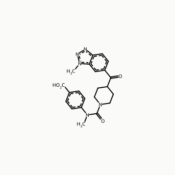 CN(C(=O)N1CCC(C(=O)c2ccc3nnn(C)c3c2)CC1)c1ccc(C(=O)O)cc1